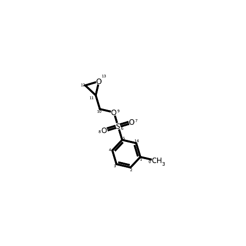 Cc1cccc(S(=O)(=O)OCC2CO2)c1